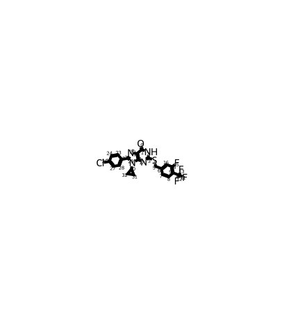 O=c1[nH]c(SCc2ccc(C(F)(F)F)c(F)c2)nc2c1nc(-c1ccc(Cl)cc1)n2C1CC1